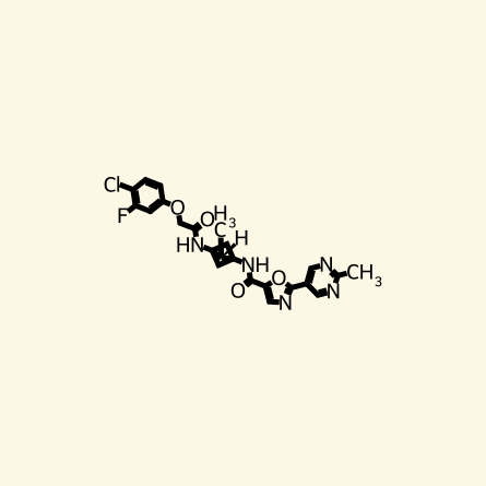 Cc1ncc(-c2ncc(C(=O)NC34CC(NC(=O)COc5ccc(Cl)c(F)c5)(C3)[C@@H]4C)o2)cn1